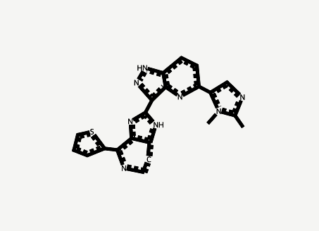 Cc1ncc(-c2ccc3[nH]nc(-c4nc5c(-c6cccs6)nccc5[nH]4)c3n2)n1C